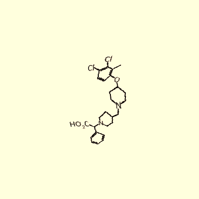 Cc1c(OC2CCN(CC3CCN([C@H](C(=O)O)c4ccccc4)CC3)CC2)ccc(Cl)c1Cl